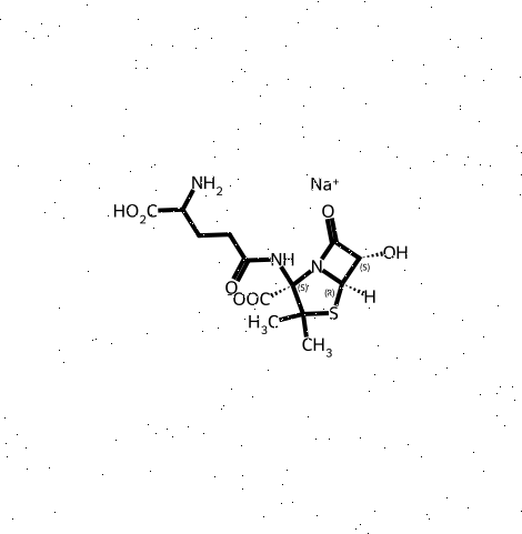 CC1(C)S[C@@H]2[C@@H](O)C(=O)N2[C@@]1(NC(=O)CCC(N)C(=O)O)C(=O)[O-].[Na+]